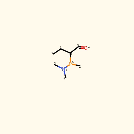 CCC(C=O)P(C)N(C)C